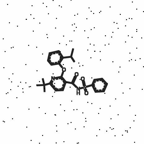 CC(C)c1ccccc1Oc1nc(C(C)(C)C)ccc1C(=O)NS(=O)(=O)c1ccccc1